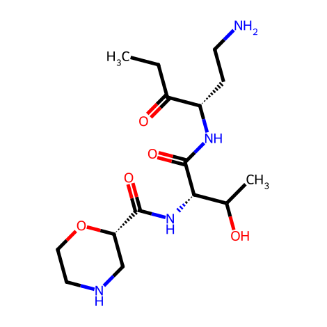 CCC(=O)[C@H](CCN)NC(=O)[C@@H](NC(=O)[C@@H]1CNCCO1)C(C)O